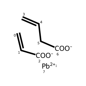 C=CC(=O)[O-].C=CCC(=O)[O-].[Pb+2]